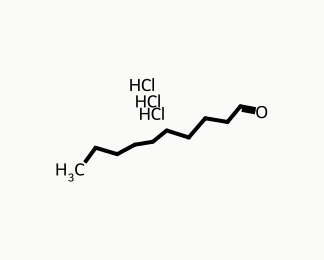 CCCCCCCCCC=O.Cl.Cl.Cl